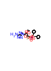 CC1(C)OC2C(O1)[C@@](S)(COP(=O)(OCc1ccccc1)OCc1ccccc1)O[C@H]2n1cnc2c(N)ncnc21